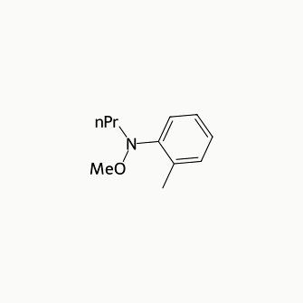 CCCN(OC)c1ccccc1C